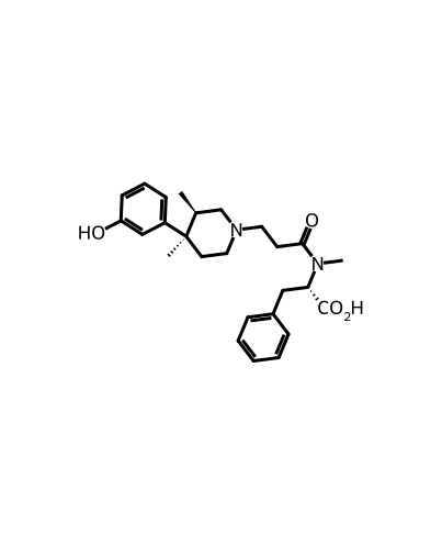 C[C@H]1CN(CCC(=O)N(C)[C@@H](Cc2ccccc2)C(=O)O)CC[C@@]1(C)c1cccc(O)c1